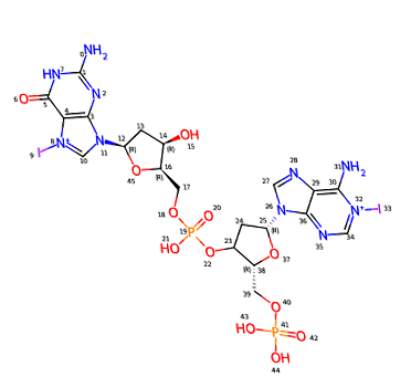 Nc1nc2c(c(=O)[nH]1)[n+](I)cn2[C@H]1C[C@@H](O)[C@@H](COP(=O)(O)OC2C[C@H](n3cnc4c(N)[n+](I)cnc43)O[C@@H]2COP(=O)(O)O)O1